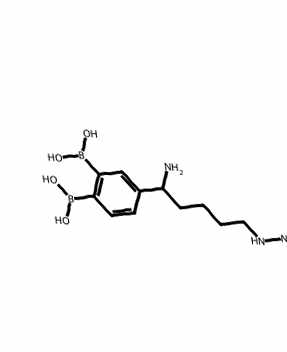 NNCCCCC(N)c1ccc(B(O)O)c(B(O)O)c1